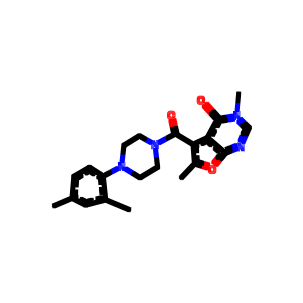 Cc1ccc(N2CCN(C(=O)c3c(C)oc4ncn(C)c(=O)c34)CC2)c(C)c1